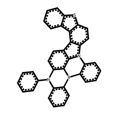 c1ccc(N2c3ccccc3B3c4ccccc4-n4c5ccc6sc7ccccc7c6c5c5ccc2c3c54)cc1